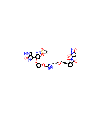 CCS(=O)(=O)Nc1ccc(Oc2cccc(OCc3cn(CCCOCC#Cc4cccc5c4C(=O)N(C4CCC(=O)NC4=O)C5=O)nn3)c2)c(-c2cn(C)c(=O)c3[nH]ccc23)c1